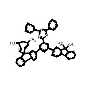 CC1/C=C/C2(/C=C/C(C)C1)c1ccccc1-c1ccc(-c3cc(-c4ccc5c(c4)C(C)(C)c4ccccc4-5)cc(-c4nc(-c5ccccc5)nc(-c5ccccc5)n4)c3)cc12